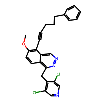 COc1ccc2c(Cc3c(Cl)cncc3Cl)nncc2c1C#CCCCc1ccccc1